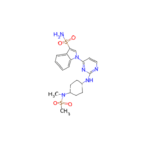 CN(C1CCC(Nc2nccc(-n3cc(S(N)(=O)=O)c4ccccc43)n2)CC1)S(C)(=O)=O